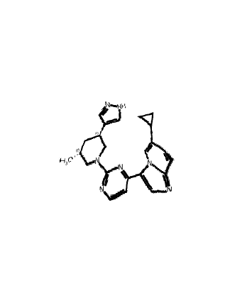 C[C@@H]1C[C@@H](c2cn[nH]c2)CN(c2nccc(-c3cnc4ccc(C5CC5)cn34)n2)C1